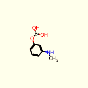 CNc1cccc(OB(O)O)c1